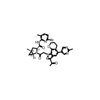 CC(=O)c1nn(CC(=O)N2[C@H](C(=O)Nc3nc(Br)ccc3C)C[C@@]3(C)C[C@@H]23)c2c3c(c(-c4cnc(C)nc4)cc12)CCCO3